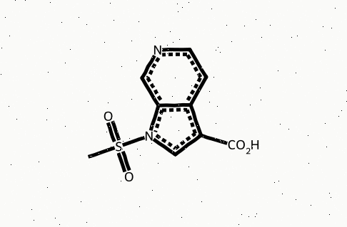 CS(=O)(=O)n1cc(C(=O)O)c2ccncc21